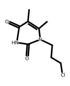 Cc1c(C)n(CCCCl)c(=O)[nH]c1=O